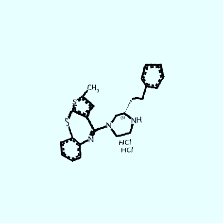 Cc1cc2c(s1)Sc1ccccc1N=C2N1CCN[C@@H](CCc2ccccc2)C1.Cl.Cl